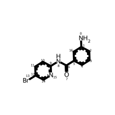 Nc1cccc(C(=O)Nc2ccc(Br)cn2)c1